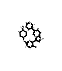 Cc1cnc(NC2CCC(N)CC2)nc1-c1cnc2ccc(-c3cncnc3)cn12